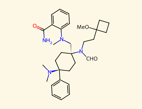 COC1(CCN(C=O)[C@]2(CN(C)c3ccccc3C(N)=O)CC[C@](c3ccccc3)(N(C)C)CC2)CCC1